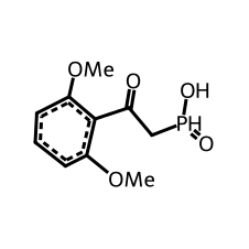 COc1cccc(OC)c1C(=O)C[PH](=O)O